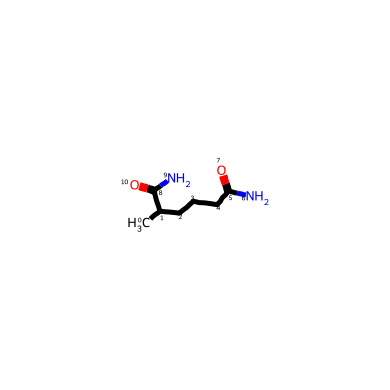 CC(CCCC(N)=O)C(N)=O